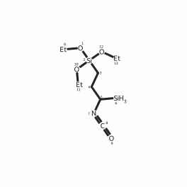 CCO[Si](CCC([SiH3])N=C=O)(OCC)OCC